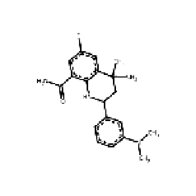 CN(C)c1cccc(C2CC(C)(C)c3cc(F)cc(C(N)=O)c3N2)c1